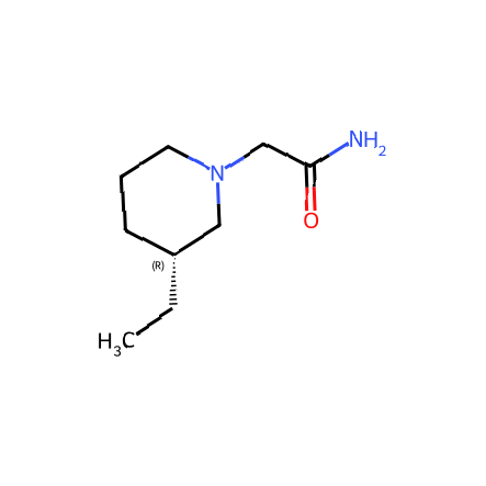 CC[C@@H]1CCCN(CC(N)=O)C1